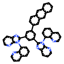 c1ccc2cc3cc(-c4cc(-c5nc6cccnc6n5-c5cccc6cccnc56)cc(-c5nc6cccnc6n5-c5cccc6cccnc56)c4)ccc3cc2c1